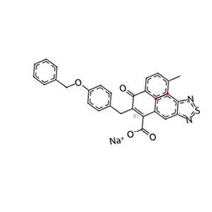 Cc1ccc(C(=O)/C(Cc2ccc(OCc3ccccc3)cc2)=C(/C(=O)[O-])c2ccc3nsnc3c2)cc1.[Na+]